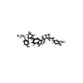 CSc1ccc(F)cc1[C@H]1C[C@H](F)CN1c1ccc2ncc(C(=O)NC3CCN(Cc4ccc(F)c(O)c4)C3)n2n1